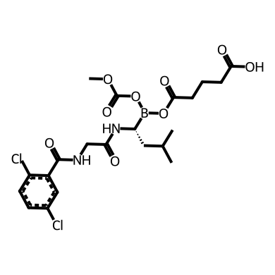 COC(=O)OB(OC(=O)CCCC(=O)O)[C@H](CC(C)C)NC(=O)CNC(=O)c1cc(Cl)ccc1Cl